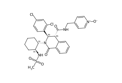 CS(=O)(=O)N[C@H]1CCCC[C@@H]1N1C(=O)c2ccccc2[C@@H](C(=O)NCc2cc[n+]([O-])cc2)[C@@H]1c1ccc(Cl)cc1Cl